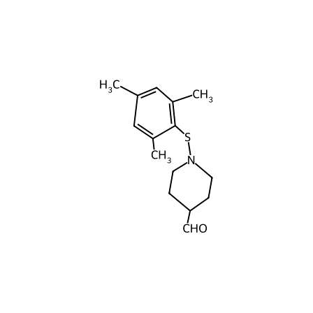 Cc1cc(C)c(SN2CCC(C=O)CC2)c(C)c1